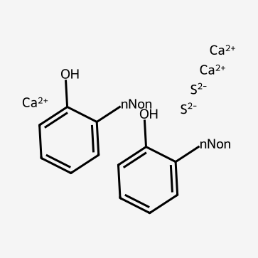 CCCCCCCCCc1ccccc1O.CCCCCCCCCc1ccccc1O.[Ca+2].[Ca+2].[Ca+2].[S-2].[S-2]